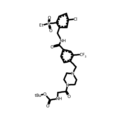 CCS(=O)(=O)c1ccc(Cl)cc1CNC(=O)c1ccc(CN2CCN(C(=O)CNC(=O)OC(C)(C)C)CC2)c(C(F)(F)F)c1